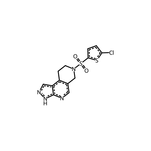 O=S(=O)(c1ccc(Cl)s1)N1CCc2c(cnc3[nH]ncc23)C1